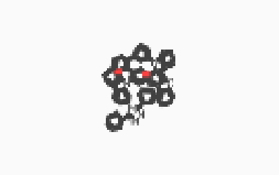 c1ccc(-c2nnc(-c3ccccc3)n2-c2ccc3c4ccccc4n(-c4ccccc4-c4ccccc4-c4cccc(-n5c6ccccc6c6c7oc8ccccc8c7ccc65)c4)c3c2)cc1